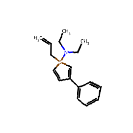 C=CCS1(N(CC)CC)C=CC(c2ccccc2)=C1